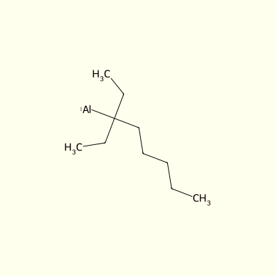 CCCCC[C]([Al])(CC)CC